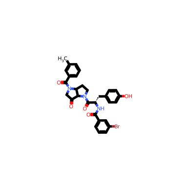 Cc1cccc(C(=O)N2CC(=O)C3C2CCN3C(=O)[C@H](Cc2ccc(O)cc2)NC(=O)c2cccc(Br)c2)c1